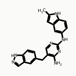 Cc1cc2cc(Nc3ncc(Cc4ccc5[nH]ncc5c4)c(N)n3)ccc2[nH]1